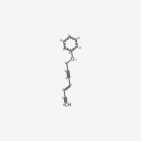 C#CC=CC#CCOc1ccccc1